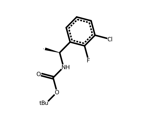 [CH2][C@H](NC(=O)OC(C)(C)C)c1cccc(Cl)c1F